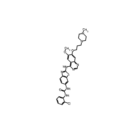 COc1cc2c(Nc3nc4ccc(NC(=O)Nc5ccccc5Cl)cc4s3)ncnc2cc1OCCCN1CCN(C)CC1